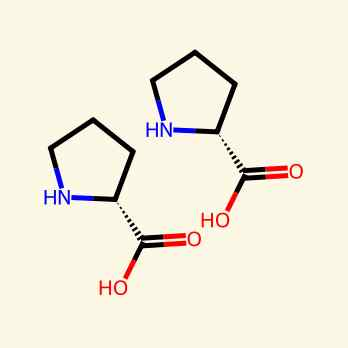 O=C(O)[C@H]1CCCN1.O=C(O)[C@H]1CCCN1